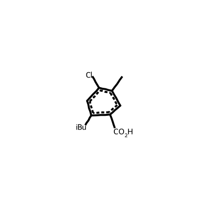 CCC(C)c1cc(Cl)c(C)cc1C(=O)O